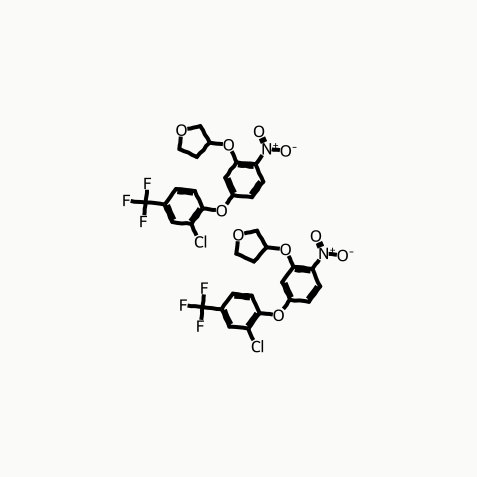 O=[N+]([O-])c1ccc(Oc2ccc(C(F)(F)F)cc2Cl)cc1OC1CCOC1.O=[N+]([O-])c1ccc(Oc2ccc(C(F)(F)F)cc2Cl)cc1OC1CCOC1